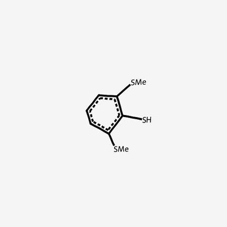 CSc1cccc(SC)c1S